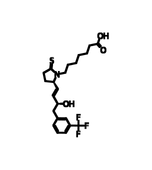 O=C(O)CCCCCCN1C(=S)CC[C@@H]1C=C[C@@H](O)Cc1cccc(C(F)(F)F)c1